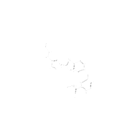 CNC(=O)c1cc(Oc2ccc3nc(-n4cnc(CCCO)c4)sc3c2)ccn1